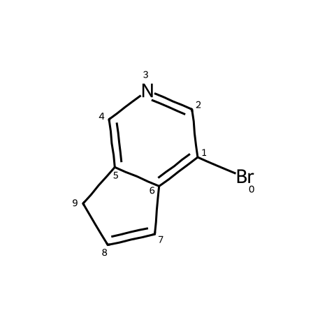 Brc1cncc2c1C=CC2